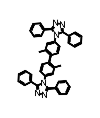 Cc1cc(-n2c(-c3ccccc3)nnc2-c2ccccc2)ccc1-c1ccc(-n2c(-c3ccccc3)nnc2-c2ccccc2)cc1C